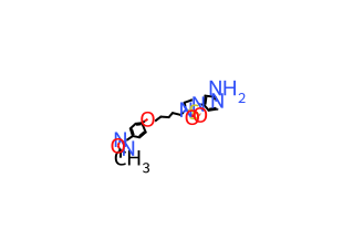 Cc1nc(-c2ccc(OCCCCCN3CCN(c4ccnc(N)c4)S3(=O)=O)cc2)no1